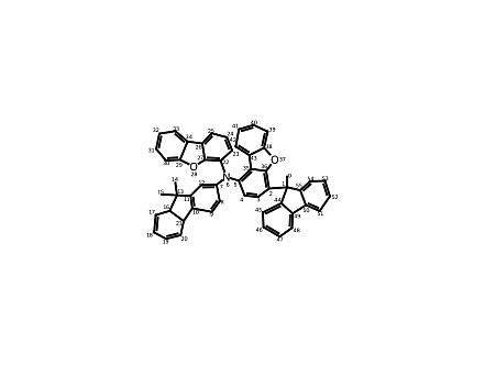 CC1(c2ccc(N(c3ccc4c(c3)C(C)(C)C3C=CC=CC43)c3cccc4c3oc3ccccc34)c3c2oc2ccccc23)c2ccccc2-c2ccccc21